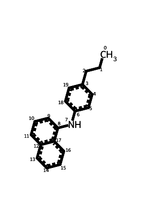 CCCc1ccc(Nc2cccc3ccccc23)cc1